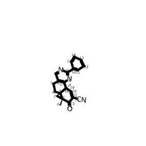 C[C@@]12C[C@]13CCc1cnc(-c4ccccc4)nc1[C@@]3(C)C=C(C#N)C2=O